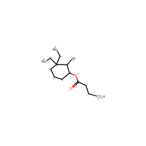 CC(C)C1C(OC(=O)CCC(=O)O)CCCC1(CC(C)(C)C)CC(C)(C)C